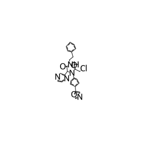 O=C(NCCc1ccccc1)C(c1cnccn1)N(C(=O)CCl)c1ccc(-c2cnco2)cc1